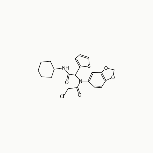 O=C(NC1CCCCC1)C(c1cccs1)N(C(=O)CCl)c1ccc2c(c1)OCO2